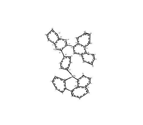 c1ccc2c(c1)-c1cccc3cccc(c13)N2c1ccc(-c2nc3ccccc3nc2-c2cc3ccccc3c3ccccc23)cc1